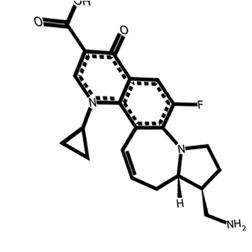 NC[C@@H]1CCN2c3c(F)cc4c(=O)c(C(=O)O)cn(C5CC5)c4c3C=CC[C@@H]12